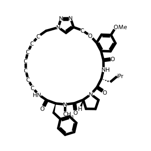 COc1ccc2c(c1)OCc1cn(nn1)CCCCCCCCNC(=O)[C@H](Cc1ccccc1)N(C)C(=O)[C@H]1CCCN1C(=O)[C@@H](CC(C)C)NC2=O